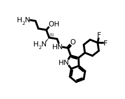 NCCC(O)[C@@H](N)CNC(=O)c1[nH]c2ccccc2c1C1CCC(F)(F)CC1